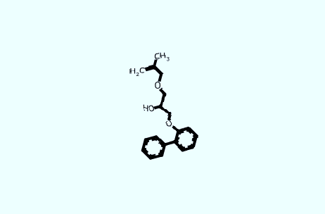 C=C(C)COCC(O)COc1ccccc1-c1ccccc1